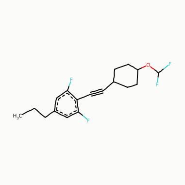 CCCc1cc(F)c(C#CC2CCC(OC(F)F)CC2)c(F)c1